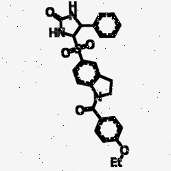 CCOc1ccc(C(=O)N2CCc3cc(S(=O)(=O)C4NC(=O)NC4c4ccccc4)ccc32)cc1